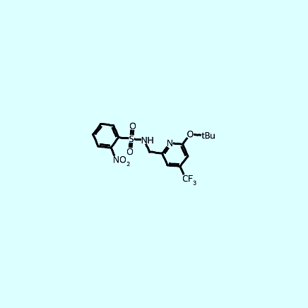 CC(C)(C)Oc1cc(C(F)(F)F)cc(CNS(=O)(=O)c2ccccc2[N+](=O)[O-])n1